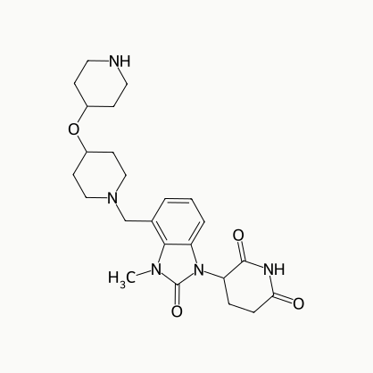 Cn1c(=O)n(C2CCC(=O)NC2=O)c2cccc(CN3CCC(OC4CCNCC4)CC3)c21